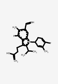 C=C(O)CCc1c(C(C)C)n(C2C=C(C)C(F)=CC2)c2cc(C=N)c(N)c(F)c12